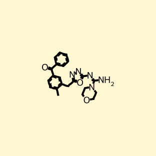 Cc1ccc(C(=O)c2ccccc2)cc1Cc1nnc(N=C(N)N2CCOCC2)o1